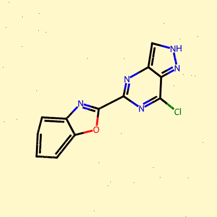 Clc1nc(-c2nc3ccccc3o2)nc2c[nH]nc12